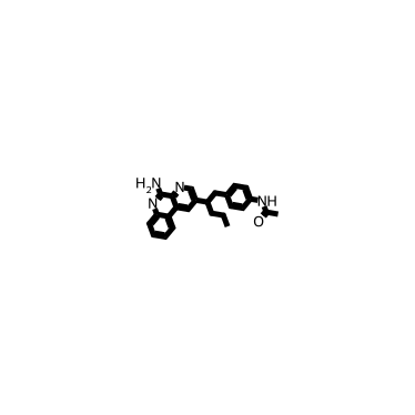 CCCC(Cc1ccc(NC(C)=O)cc1)c1cnc2c(N)nc3ccccc3c2c1